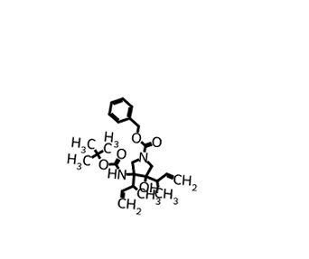 C=CC(C)C1(O)CN(C(=O)OCc2ccccc2)CC1(NC(=O)OC(C)(C)C)C(C)C=C